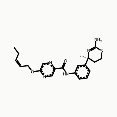 CC/C=C\COc1cnc(C(=O)Nc2cccc([C@]3(C)CCSC(N)=N3)c2)cn1